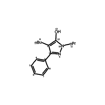 CCCCc1c(-c2ccccc2)nn(CCC)c1O